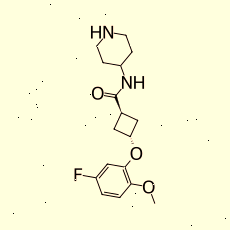 COc1ccc(F)cc1O[C@H]1C[C@H](C(=O)NC2CCNCC2)C1